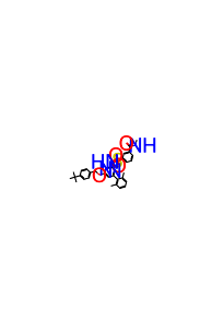 CNC(=O)c1cccc(S(=O)(=O)Nc2nc(OCc3ccc(C(C)(C)C)cc3)cc(-c3c(C)cccc3C)n2)c1